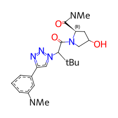 CNC(=O)[C@H]1CC(O)CN1C(=O)C(n1cc(-c2cccc(NC)c2)nn1)C(C)(C)C